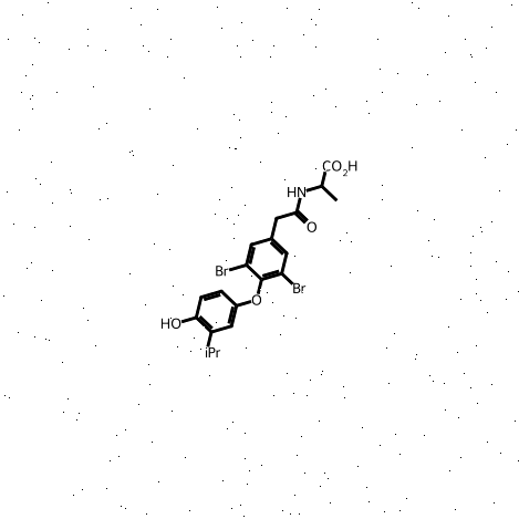 CC(NC(=O)Cc1cc(Br)c(Oc2ccc(O)c(C(C)C)c2)c(Br)c1)C(=O)O